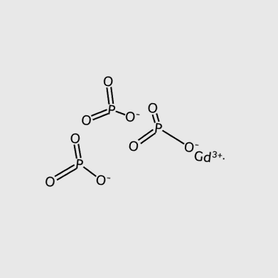 O=P(=O)[O-].O=P(=O)[O-].O=P(=O)[O-].[Gd+3]